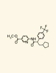 COC(=O)c1ccc(NC(=O)C(CC2CCCC2)c2ccc(C(F)(F)F)cc2)nc1